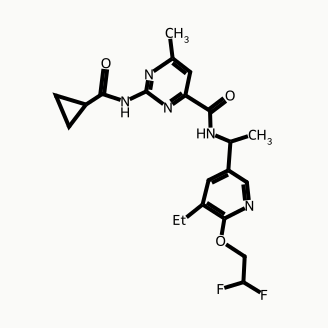 CCc1cc(C(C)NC(=O)c2cc(C)nc(NC(=O)C3CC3)n2)cnc1OCC(F)F